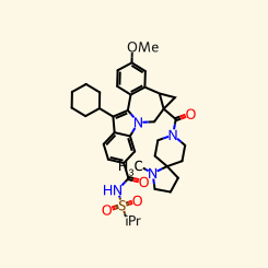 COc1ccc2c(c1)C1CC1(C(=O)N1CCC3(CCCN3C)CC1)Cn1c-2c(C2CCCCC2)c2ccc(C(=O)NS(=O)(=O)C(C)C)cc21